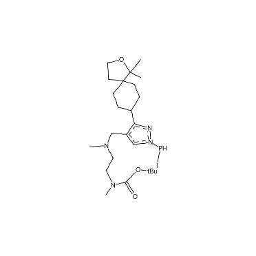 CN(CCN(C)C(=O)OC(C)(C)C)Cc1cn(PI)nc1C1CCC2(CCOC2(C)C)CC1